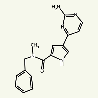 CN(Cc1ccccc1)C(=O)c1cc(-c2ccnc(N)n2)c[nH]1